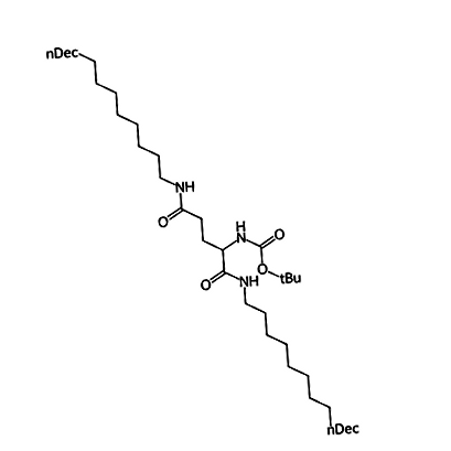 CCCCCCCCCCCCCCCCCCNC(=O)CCC(NC(=O)OC(C)(C)C)C(=O)NCCCCCCCCCCCCCCCCCC